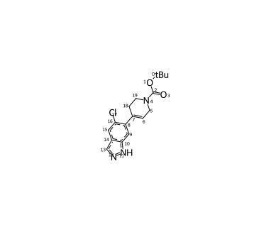 CC(C)(C)OC(=O)N1CC=C(c2cc3[nH]ncc3cc2Cl)CC1